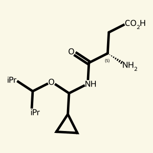 CC(C)C(OC(NC(=O)[C@@H](N)CC(=O)O)C1CC1)C(C)C